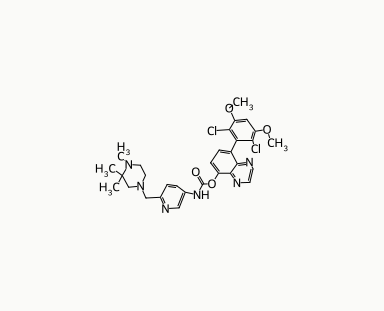 COc1cc(OC)c(Cl)c(-c2ccc(OC(=O)Nc3ccc(CN4CCN(C)C(C)(C)C4)nc3)c3nccnc23)c1Cl